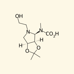 CN(C(=O)O)[C@H]1[C@H]2OC(C)(C)O[C@H]2CN1CCO